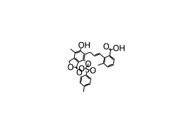 Cc1ccc(S(=O)(=O)Oc2c(CC=Cc3c(C)cccc3C(=O)O)c(O)c(C)c3c2C(=O)OC3)cc1